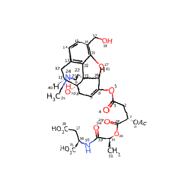 CC(=O)O[C@@H](CC(=O)OC1=CC[C@@]2(O)[C@H]3Cc4ccc(CO)c5c4[C@@]2(CCN3C)[C@H]1O5)C(=O)O[C@@H](C)C(=O)N[C@H](CC(=O)O)C(=O)O